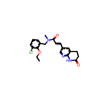 CCOc1c(Cl)cccc1CN(C)C(=O)/C=C/c1cnc2c(c1)CCC(=O)N2